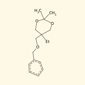 CCC1(COCc2ccccc2)COC(C)(C)OC1